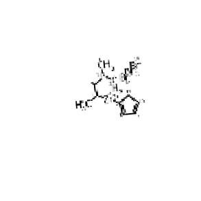 C[CH](CP(C)C)[Zr+3][C]1=CC=CC1.[Br-].[Br-].[Br-]